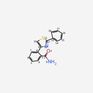 NC(=O)c1ccccc1-c1csc(-c2ccccc2)n1